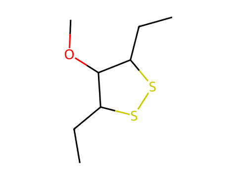 CCC1SSC(CC)C1OC